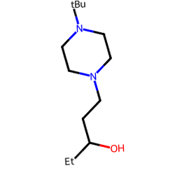 CCC(O)CCN1CCN(C(C)(C)C)CC1